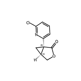 O=C1OC[C@H]2C[C@@]12c1cccc(Cl)n1